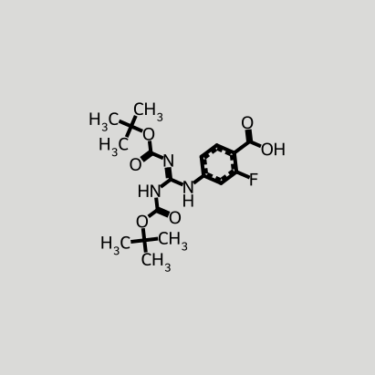 CC(C)(C)OC(=O)N=C(NC(=O)OC(C)(C)C)Nc1ccc(C(=O)O)c(F)c1